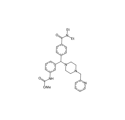 CCN(CC)C(=O)c1ccc(C(c2cccc(NC(=O)OC)c2)N2CCN(Cc3ccccn3)CC2)cc1